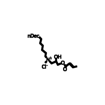 CC=CC(=O)OCC(O)C[N+](C)(C)CCCCCCCCCCCCCCCC.[Cl-]